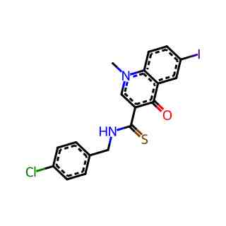 Cn1cc(C(=S)NCc2ccc(Cl)cc2)c(=O)c2cc(I)ccc21